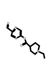 CCN1CCC(C(=O)Oc2cnc(C=O)cn2)CC1